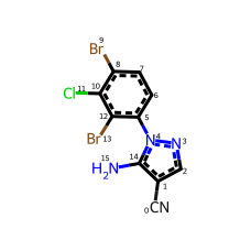 N#Cc1cnn(-c2ccc(Br)c(Cl)c2Br)c1N